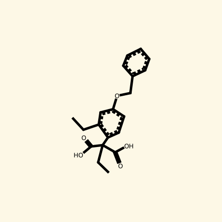 CCc1cc(OCc2ccccc2)ccc1C(CC)(C(=O)O)C(=O)O